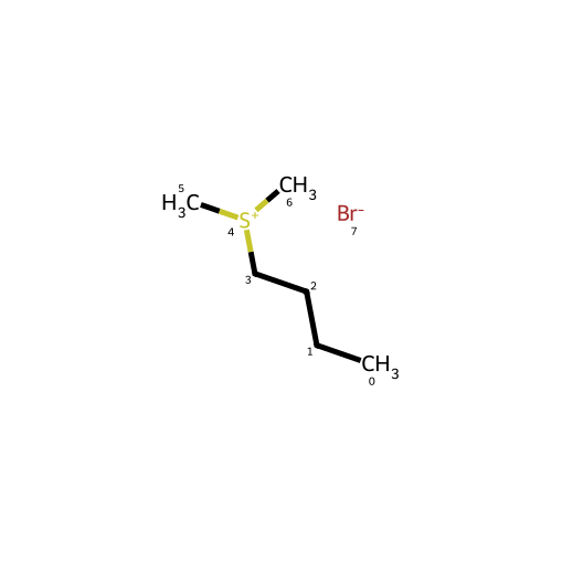 CCCC[S+](C)C.[Br-]